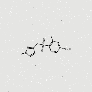 Cn1ccc(CS(=O)(=O)c2ccc(C(=O)O)cc2I)n1